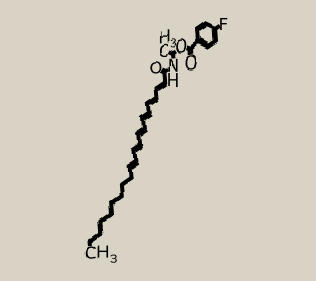 CCCCCCCCCC=CC=CC=CC=CC=CC=CC(=O)NC(C)OC(=O)c1ccc(F)cc1